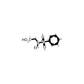 CCN(CC(=O)O)S(=O)(=O)c1ccccc1